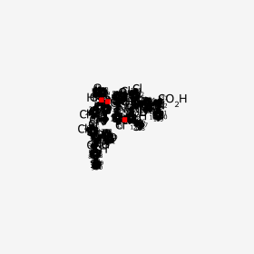 NC(=O)c1ccc(-n2ccnc2)cc1C(Cc1ccc(Cl)c(Cl)c1)C(=O)NC12CCCC1OCC2=O.NC(Cc1ccc(Cl)c(Cl)c1)C(=O)NC12CCCC1OCC2=O.O=C(NC(Cc1ccc(Cl)c(Cl)c1)C(=O)NC12CCCC1OCC2=O)c1ccc(-c2cccs2)cc1.O=C(NC(Cc1ccc(Cl)c(Cl)c1)C(=O)NC12CCCC1OCC2=O)c1cncc(-c2cccs2)c1.O=C(O)c1csc(-c2ccccc2)n1